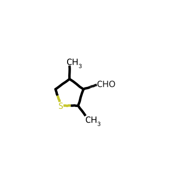 CC1CSC(C)C1C=O